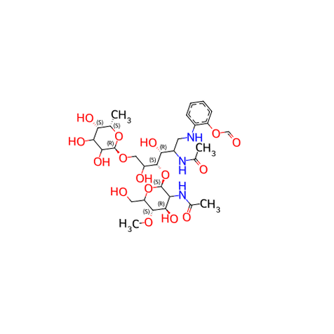 CO[C@@H]1C(CO)O[C@@H](O[C@H](C(O)CO[C@@H]2O[C@@H](C)[C@@H](O)C(O)C2O)[C@H](O)C(CNc2ccccc2OC=O)NC(C)=O)C(NC(C)=O)[C@H]1O